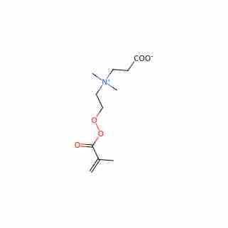 C=C(C)C(=O)OOCC[N+](C)(C)CCC(=O)[O-]